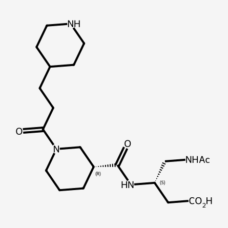 CC(=O)NC[C@H](CC(=O)O)NC(=O)[C@@H]1CCCN(C(=O)CCC2CCNCC2)C1